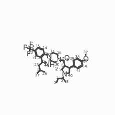 CCC(C)N1CC(C(=O)N2CCN(c3ccc(C(F)(F)F)cc3[C@@H](N)CC(C)C)CC2)C(c2ccc(OC)cc2)C1